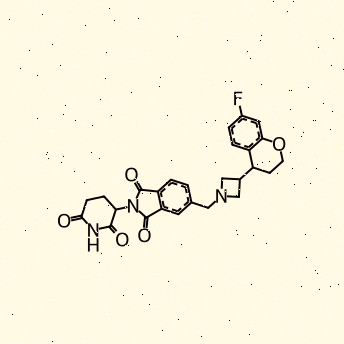 O=C1CCC(N2C(=O)c3ccc(CN4CC(C5CCOc6cc(F)ccc65)C4)cc3C2=O)C(=O)N1